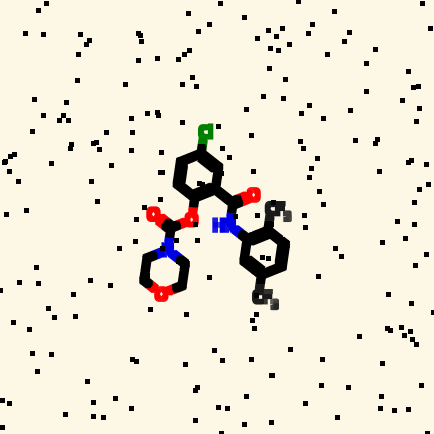 O=C(Nc1cc(C(F)(F)F)ccc1C(F)(F)F)c1cc(Cl)ccc1OC(=O)N1CCOCC1